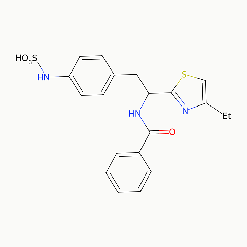 CCc1csc(C(Cc2ccc(NS(=O)(=O)O)cc2)NC(=O)c2ccccc2)n1